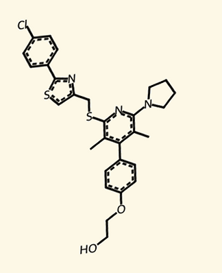 Cc1c(SCc2csc(-c3ccc(Cl)cc3)n2)nc(N2CCCC2)c(C)c1-c1ccc(OCCO)cc1